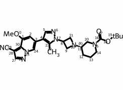 COc1cc(-c2cnn(C3CN([C@@H]4CCCN(C(=O)OC(C)(C)C)C4)C3)c2C)cn2ncc(C#N)c12